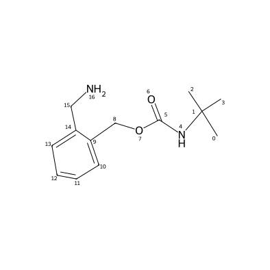 CC(C)(C)NC(=O)OCc1ccccc1CN